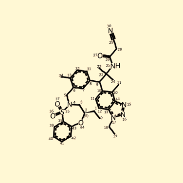 CC[C@@H]1CN(Cc2cc(C(c3ccc4c(nnn4CC)c3C)C(C)(C)NC(=O)CC#N)ccc2C)S(=O)(=O)c2ccccc2O1